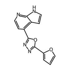 c1coc(-c2nnc(-c3ccnc4[nH]ccc34)o2)c1